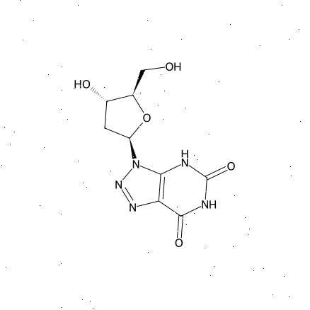 O=c1[nH]c(=O)c2nnn([C@H]3C[C@H](O)[C@@H](CO)O3)c2[nH]1